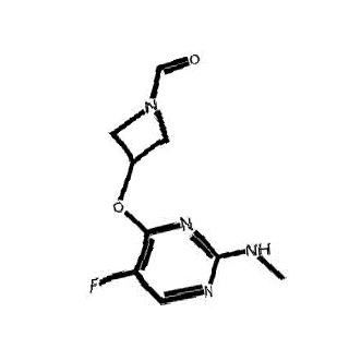 CNc1ncc(F)c(OC2CN(C=O)C2)n1